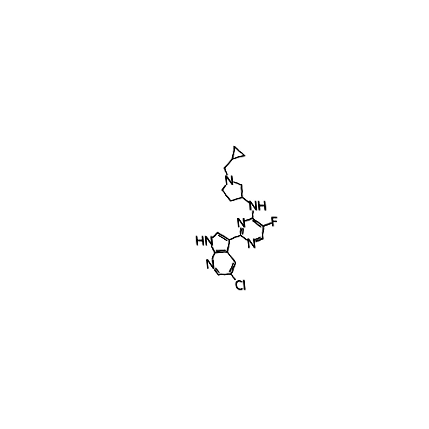 Fc1cnc(-c2c[nH]c3ncc(Cl)cc23)nc1NC1CCN(CC2CC2)C1